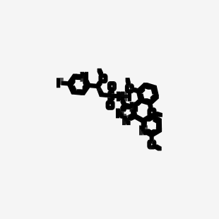 COc1cccc(-c2nnc(NS(=O)(=O)C[C@H](OC)c3ccc(F)cn3)n2-c2c(OC)cccc2OC)n1